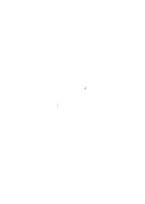 [Bi].[Li].[Pb].[Te]